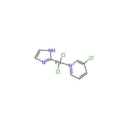 Clc1ccc[n+]([Pd]([Cl])([Cl])[c]2ncc[nH]2)c1